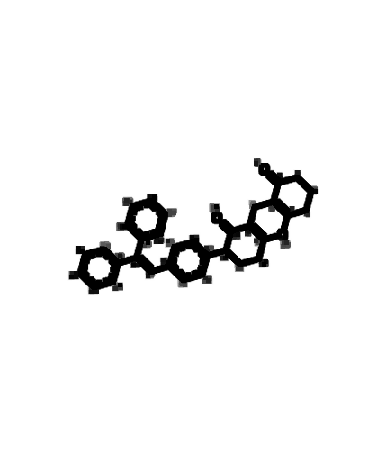 O=C1CCCC2=C1CC1=C(CCC(c3ccc(C=C(c4ccccc4)c4ccccc4)cc3)C1=O)O2